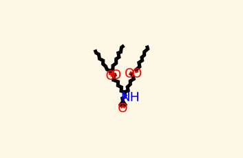 CCCCCCCCCOC(=O)CCCCCC(CCCCCC(=O)OC(CCCCCCCC)CCCCCCCCC)NCC1COC1